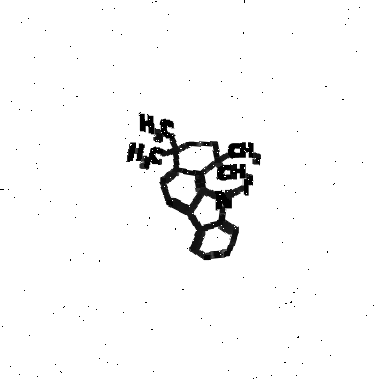 CC1(C)CCC(C)(C)c2c1ccc1c3ccccc3n(I)c21